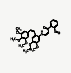 CCOc1cc(/C=C\c2cc(OC)c(OC)c(OC)c2)c(N/C=C\C(=O)c2ccccc2N=O)cc1OC